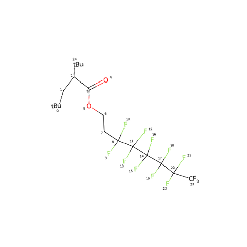 CC(C)(C)CC(C(=O)OCCC(F)(F)C(F)(F)C(F)(F)C(F)(F)C(F)(F)C(F)(F)F)C(C)(C)C